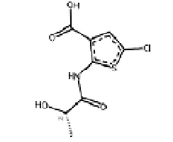 C[C@H](O)C(=O)Nc1sc(Cl)cc1C(=O)O